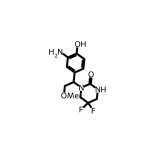 COCC(c1ccc(O)c(N)c1)N1CC(F)(F)CNC1=O